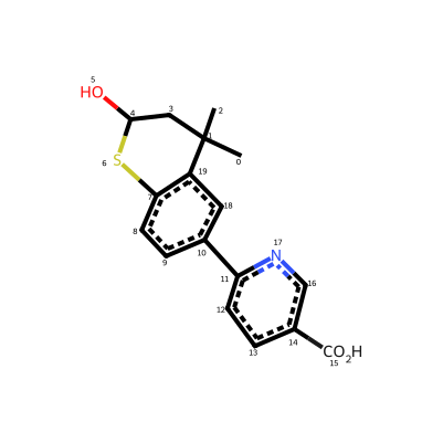 CC1(C)CC(O)Sc2ccc(-c3ccc(C(=O)O)cn3)cc21